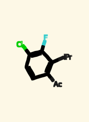 CC(=O)c1ccc(Cl)c(F)c1C(C)C